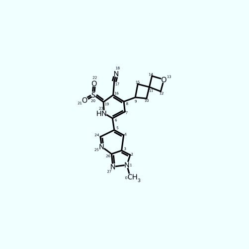 Cn1cc2cc(-c3cc(C4CC5(COC5)C4)c(C#N)c(=S(=O)=O)[nH]3)cnc2n1